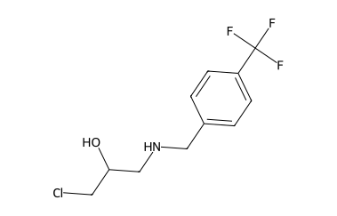 OC(CCl)CNCc1ccc(C(F)(F)F)cc1